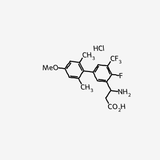 COc1cc(C)c(-c2cc(C(N)CC(=O)O)c(F)c(C(F)(F)F)c2)c(C)c1.Cl